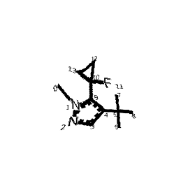 Cn1ncc(C(C)(C)C)c1C1(F)CC1